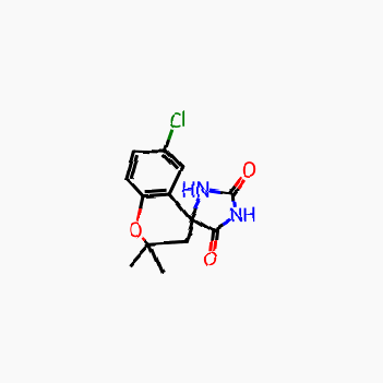 CC1(C)CC2(NC(=O)NC2=O)c2cc(Cl)ccc2O1